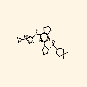 CC1(C)CCN(C(=O)[C@@H]2CCCN2c2nc3c(c(Nc4ncc(C5CC5)[nH]4)n2)CCC3)CC1